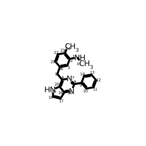 CNc1cc(Cc2nc(-c3ccccc3)nc3cc[nH]c23)ccc1C